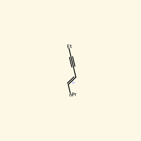 CCC#C/C=C/CCC